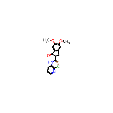 COc1cc2c(cc1OC)C(=O)C(C(=S)Nc1cccnc1Cl)C2